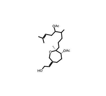 CC(=O)OC(CC=C(C)C)C(C)CCC[C@]1(C)OCC(=CCO)CC[C@H]1OC(C)=O